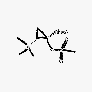 CCCCC[C@@]1(OS(C)(=O)=O)C[C@H]1[Si](C)(C)C